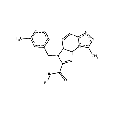 CCNC(=O)C1=CC2C(C=Cc3nnc(C)n32)N1Cc1cccc(C(F)(F)F)c1